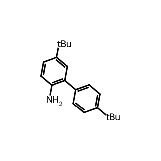 CC(C)(C)c1ccc(-c2cc(C(C)(C)C)ccc2N)cc1